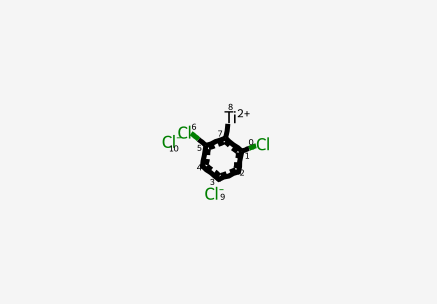 Clc1cccc(Cl)[c]1[Ti+2].[Cl-].[Cl-]